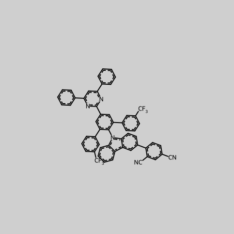 N#Cc1ccc(-c2ccc3c(c2)c2ccccc2n3-c2c(-c3cccc(C(F)(F)F)c3)cc(-c3nc(-c4ccccc4)cc(-c4ccccc4)n3)cc2-c2cccc(C(F)(F)F)c2)c(C#N)c1